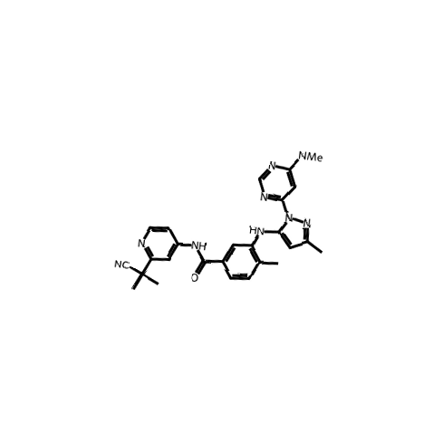 CNc1cc(-n2nc(C)cc2Nc2cc(C(=O)Nc3ccnc(C(C)(C)C#N)c3)ccc2C)ncn1